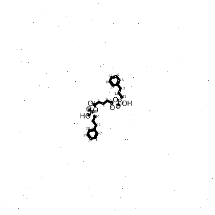 O=C(CCCC(=O)OP(=O)(O)CCCc1ccccc1)OP(=O)(O)CCCc1ccccc1